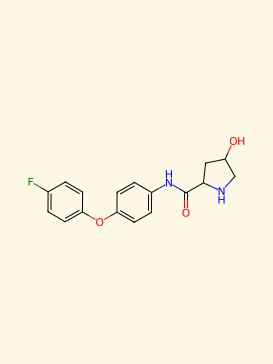 O=C(Nc1ccc(Oc2ccc(F)cc2)cc1)C1CC(O)CN1